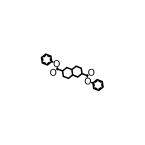 O=C(Oc1ccccc1)C1CCC2CC(C(=O)Oc3ccccc3)CCC2C1